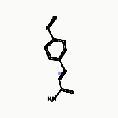 NC(=O)/C=C/c1ccc(N=O)cc1